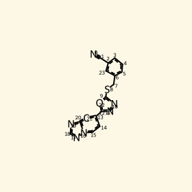 N#Cc1cccc(CSc2nnc(-c3ccn4ncnc4c3)o2)c1